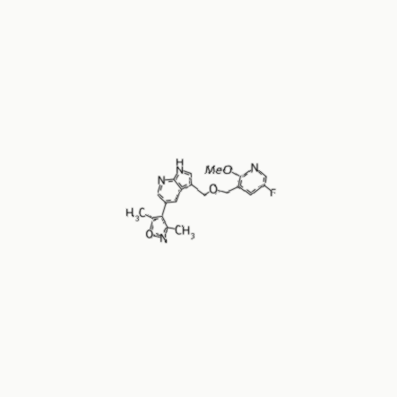 COc1ncc(F)cc1COCc1c[nH]c2ncc(-c3c(C)noc3C)cc12